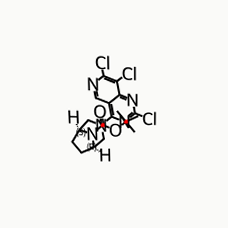 CC(C)(C)OC(=O)N1[C@@H]2CC[C@H]1CN(c1nc(Cl)nc3c(Cl)c(Cl)ncc13)C2